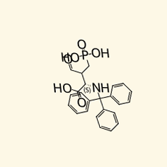 O=CC(CP(=O)(O)O)[C@H](NC(c1ccccc1)(c1ccccc1)c1ccccc1)C(=O)O